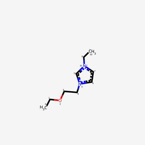 CCOCCn1cc[n+](CC)c1